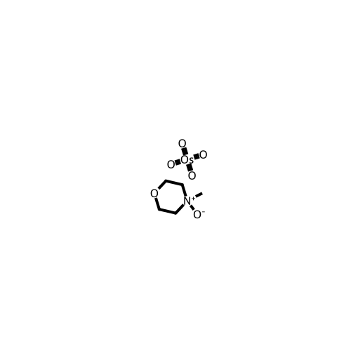 C[N+]1([O-])CCOCC1.[O]=[Os](=[O])(=[O])=[O]